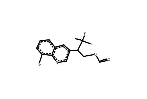 O=COCC(c1cnc2c(Br)cccc2c1)C(F)(F)F